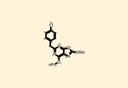 CCCOc1nc(Cc2ccc(Cl)cc2)nc2oc(SC)nc12